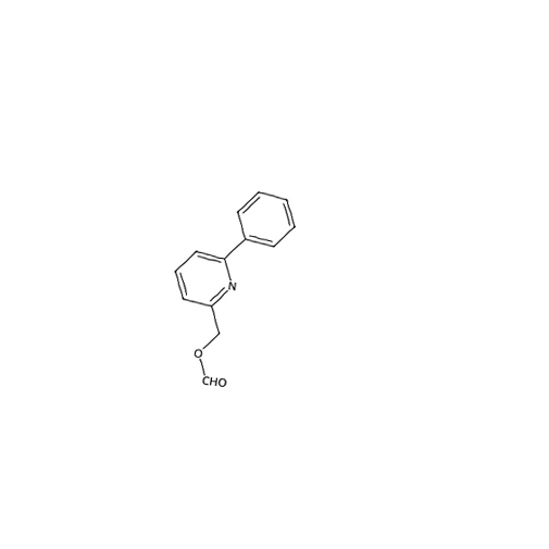 O=COCc1cccc(-c2ccccc2)n1